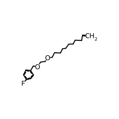 C=CCCCCCCCCCOCCOCc1ccc(F)cc1